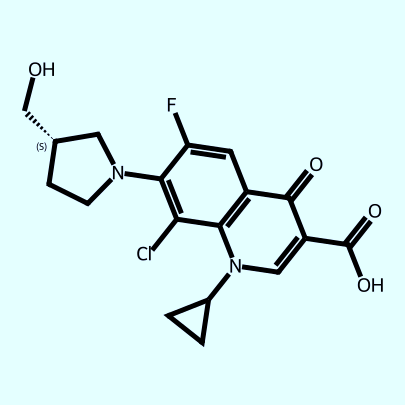 O=C(O)c1cn(C2CC2)c2c(Cl)c(N3CC[C@H](CO)C3)c(F)cc2c1=O